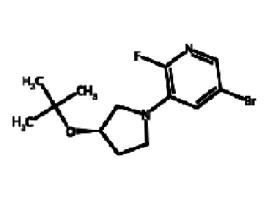 CC(C)(C)O[C@@H]1CCN(c2cc(Br)cnc2F)C1